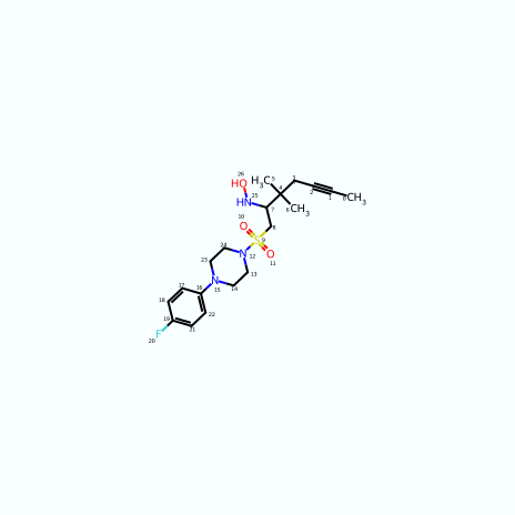 CC#C[CH]C(C)(C)C(CS(=O)(=O)N1CCN(c2ccc(F)cc2)CC1)NO